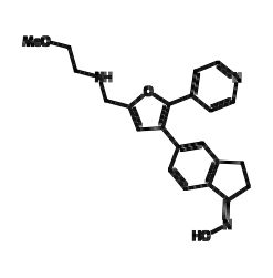 COCCNCc1cc(-c2ccc3c(c2)CC/C3=N/O)c(-c2ccncc2)o1